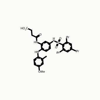 COc1ccc(Nc2ccc(NS(=O)(=O)c3c(C(C)C)cc(C(C)C)cc3C(C)C)cc2NC(=O)CCC(=O)O)c(C)c1